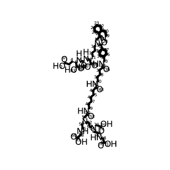 O=C(O)CC[C@@H](NC(=O)N[C@H](CCCCN(Cc1nccc2ccccc12)C(=O)c1ccc(CNC(=O)CCCCNC(=O)CCCCCCNC(=O)CN(CCNCC(=O)O)CCN(CCNCC(=O)O)CC(=O)O)cc1)C(=O)O)C(=O)O